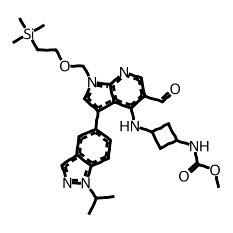 COC(=O)NC1CC(Nc2c(C=O)cnc3c2c(-c2ccc4c(cnn4C(C)C)c2)cn3COCC[Si](C)(C)C)C1